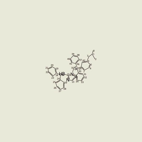 CC(C)Cc1cccc([Si](Cn2ccnc2BC(c2ccccc2)c2ccccc2)(c2ccccc2)c2ccccc2)c1